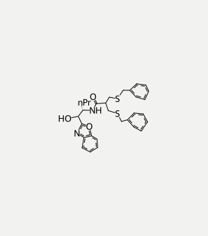 CCC[C@H](NC(=O)C(CSCc1ccccc1)CSCc1ccccc1)C(O)c1nc2ccccc2o1